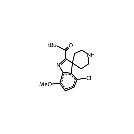 COc1ccc(Cl)c2c1N=C(C(=O)C(C)(C)C)C21CCNCC1